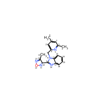 Cc1cc(C)nc(Cn2c(-c3nonc3C)nc3ccccc32)c1